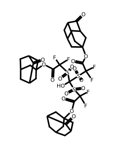 O=C1C2CC3CC1CC(OC(=O)C(F)(F)S(=O)(=O)C(O)(S(=O)(=O)C(F)(F)C(=O)OC14CC5CC(C1)C(=O)C(C5)C4)S(=O)(=O)C(F)(F)C(=O)OC14CC5CC(C1)C(=O)C(C5)C4)(C3)C2